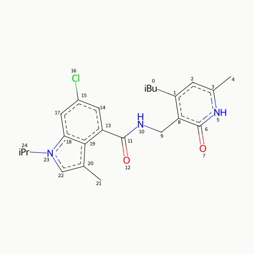 CCC(C)c1cc(C)[nH]c(=O)c1CNC(=O)c1cc(Cl)cc2c1c(C)cn2C(C)C